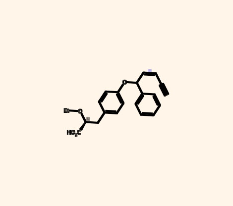 C#C/C=C\C(Oc1ccc(C[C@H](OCC)C(=O)O)cc1)c1ccccc1